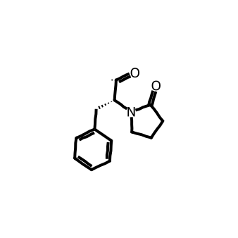 O=[C][C@@H](Cc1ccccc1)N1CCCC1=O